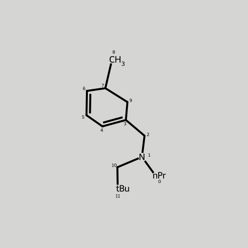 CCCN(CC1=CC=CC(C)C1)CC(C)(C)C